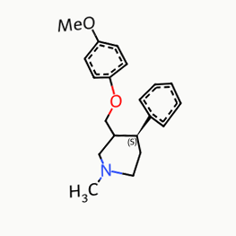 COc1ccc(OCC2CN(C)CC[C@@H]2c2ccccc2)cc1